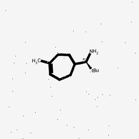 CC1=CCCC([C@@H](N)C(C)(C)C)CC1